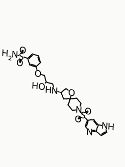 NS(=O)(=O)c1cccc(OCC(O)CN[C@H]2COC3(CCN(S(=O)(=O)c4cnc5cc[nH]c5c4)CC3)C2)c1